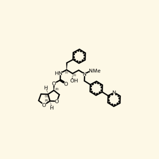 CNN(Cc1ccc(-c2ccccn2)cc1)C[C@H](O)[C@H](Cc1ccccc1)NC(=O)O[C@H]1CO[C@H]2OCC[C@H]21